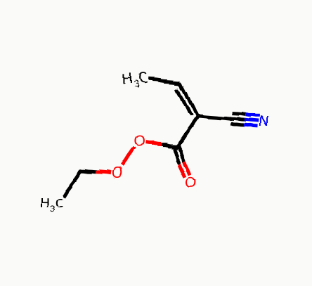 CC=C(C#N)C(=O)OOCC